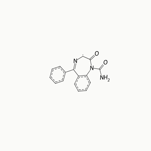 NC(=O)N1C(=O)[CH]N=C(c2ccccc2)c2ccccc21